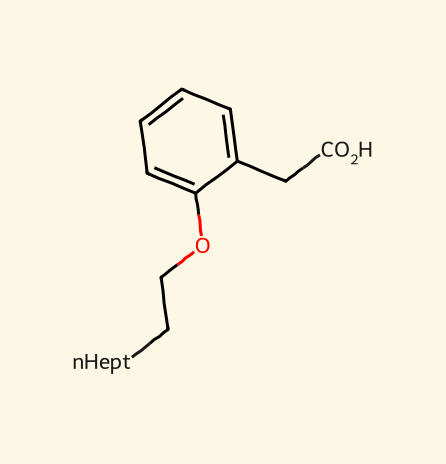 CCCCCCCCCOc1ccccc1CC(=O)O